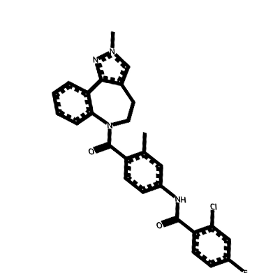 Cc1cc(NC(=O)c2ccc(F)cc2Cl)ccc1C(=O)N1CCc2cn(C)nc2-c2ccccc21